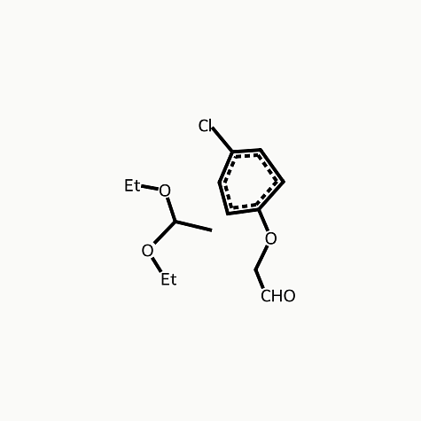 CCOC(C)OCC.O=CCOc1ccc(Cl)cc1